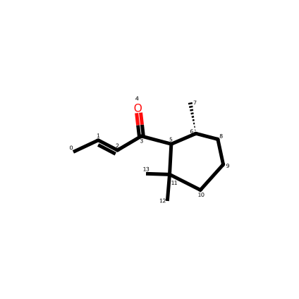 CC=CC(=O)C1[C@H](C)CCCC1(C)C